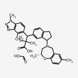 Cc1ccc2c(c1)CN(C1CCc3ccc(C(c4ccc5c(nnn5C)c4C)C(C)(C)C(=O)O)cc31)C[C@@H](C)O2.O=CO